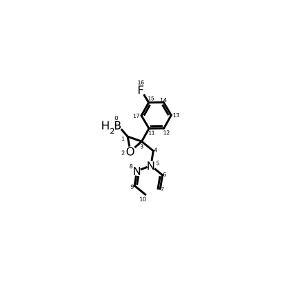 BC1OC1(CN(C=C)/N=C\C)c1cccc(F)c1